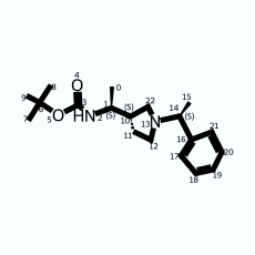 C[C@H](NC(=O)OC(C)(C)C)[C@H]1CCN([C@@H](C)c2ccccc2)C1